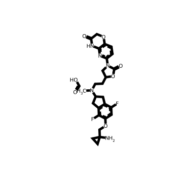 CN(CCC1CN(c2ccc3c(n2)NC(=O)CO3)C(=O)O1)C1Cc2c(F)cc(OCC3(N)CC3)c(F)c2C1.O=CO